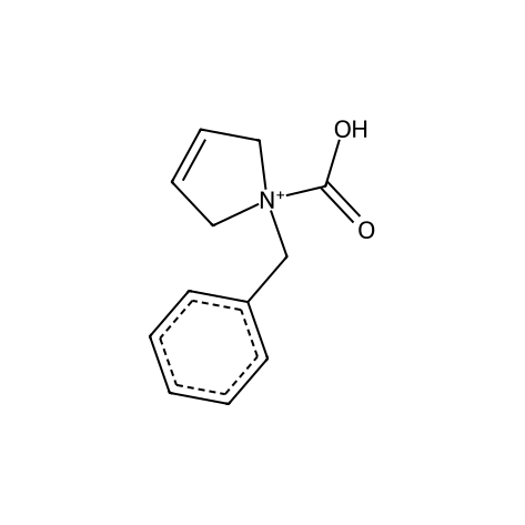 O=C(O)[N+]1(Cc2ccccc2)CC=CC1